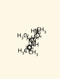 CCCc1cc(N2CCC[C@@H](NC)C2)nc(Nc2ccc(C)c(C)c2)n1